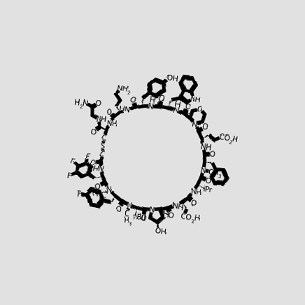 CCCC[C@H]1C(=O)N2C[C@H](O)C[C@@H]2C(=O)N[C@@H](CC(=O)O)C(=O)N[C@@H](C(C)C)C(=O)N(C)[C@@H](Cc2ccccc2)C(=O)N[C@@H](CCC(=O)O)C(=O)N2CCOC[C@@H]2C(=O)N[C@@H](Cc2c[nH]c3ccccc23)C(=O)N[C@@H](Cc2ccc(O)cc2)C(=O)N[C@@H](CCCN)C(=O)N[C@H](C(=O)NCC(N)=O)CSCC(=O)N[C@@H](Cc2cc(F)c(F)c(F)c2)C(=O)N(C)[C@@H](Cc2ccc(F)cc2)C(=O)N1C